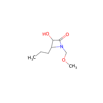 CCCC1C(O)C(=O)N1COC